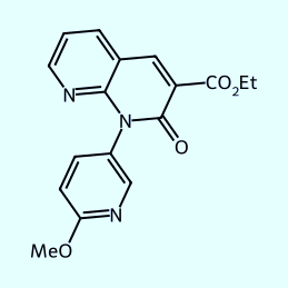 CCOC(=O)c1cc2cccnc2n(-c2ccc(OC)nc2)c1=O